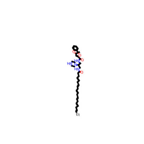 CCC=CCC=CCC=CCC=CCC=CCC=CCCC(=O)NCC(CNC(=O)C1=CC(=O)C(C)(c2ccccc2)O1)N1CCNCC1